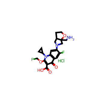 Cl.NCC12CN(c3cc4c(cc3F)c(=O)c(C(=O)O)c(OCF)n4C3CC3)CC1CCO2